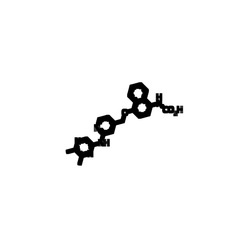 Cc1ncc(Nc2cc(COc3ccc(NC(=O)O)c4ccccc34)ccn2)nc1C